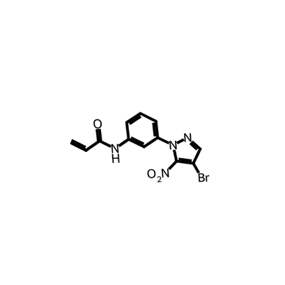 C=CC(=O)Nc1cccc(-n2ncc(Br)c2[N+](=O)[O-])c1